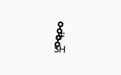 Fc1cc(C2CCC(S)CC2)ccc1C1CCC(C2CCCCC2)CC1